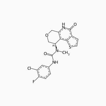 CN(C(=O)Nc1ccc(F)c(Cl)c1)[C@H]1COCc2[nH]c(=O)c3ccsc3c21